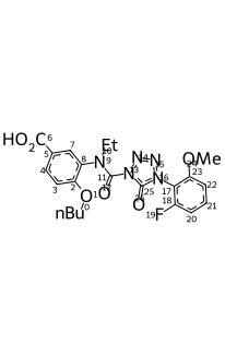 CCCCOc1ccc(C(=O)O)cc1N(CC)C(=O)n1nnn(-c2c(F)cccc2OC)c1=O